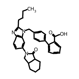 CCCCc1nc2ccc(N3CC4CCCCC4C3=O)cc2n1Cc1ccc(-c2ccccc2C(=O)O)cc1